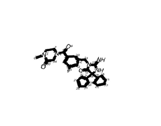 CN1CCN(C(=O)c2cc(F)cc(CN3C(=N)NC(c4ccccc4)(c4ccccc4)C3=O)c2)CC1=O